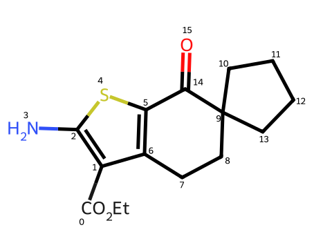 CCOC(=O)c1c(N)sc2c1CCC1(CCCC1)C2=O